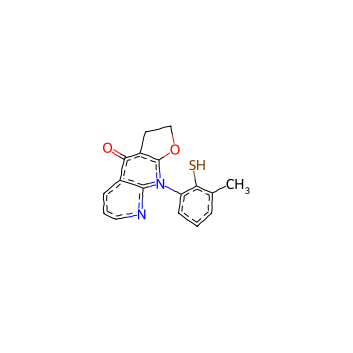 Cc1cccc(-n2c3c(c(=O)c4cccnc42)CCO3)c1S